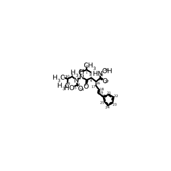 CC(C)C[C@@H](C(=O)NN(CC(C)C)C(=O)O)[C@H](CC=Cc1ccccc1)C(=O)NO